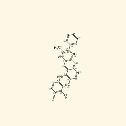 C[C@@H](Nc1cc2c(Nc3ccc(F)c(Cl)c3)c(C#N)cnc2cn1)[C@H](O)c1ccccc1